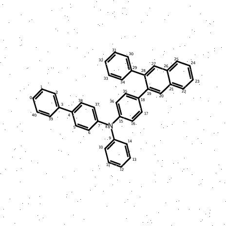 c1ccc(-c2ccc(N(c3ccccc3)c3ccc(-c4cc5ccccc5cc4-c4ccccc4)cc3)cc2)cc1